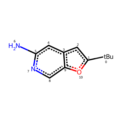 CC(C)(C)c1cc2cc(N)ncc2o1